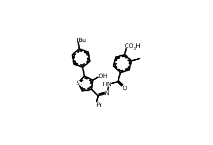 Cc1cc(C(=O)NN=C(c2csc(-c3ccc(C(C)(C)C)cc3)c2O)C(C)C)ccc1C(=O)O